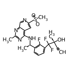 C#C[C@@](C)(O)C(F)(F)c1cccc([C@@H](C)Nc2nc(C)nc3cnc(S(C)(=O)=O)cc23)c1F